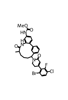 COC(=O)Nc1ccc2c(c1)NC(=O)C(C)CCCC(N1CCC(c3c(Br)ccc(Cl)c3F)=CC1=O)c1cccc-2c1